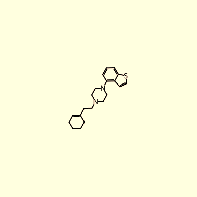 C1=C(CCN2CCN(c3cccc4sccc34)CC2)CCCC1